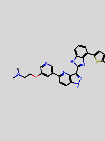 CN(C)CCOc1cncc(-c2ccc3[nH]nc(-c4nc5c(-c6ccc(F)s6)cccc5[nH]4)c3n2)c1